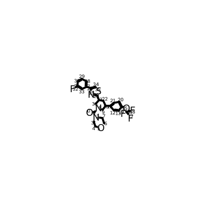 O=C(N1CCOCC1)N1CC(c2ccc(OC(F)(F)F)cc2)CC(c2nc(-c3cccc(F)c3)cs2)C1